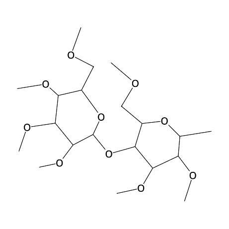 COCC1OC(C)C(OC)C(OC)C1OC1OC(COC)C(OC)C(OC)C1OC